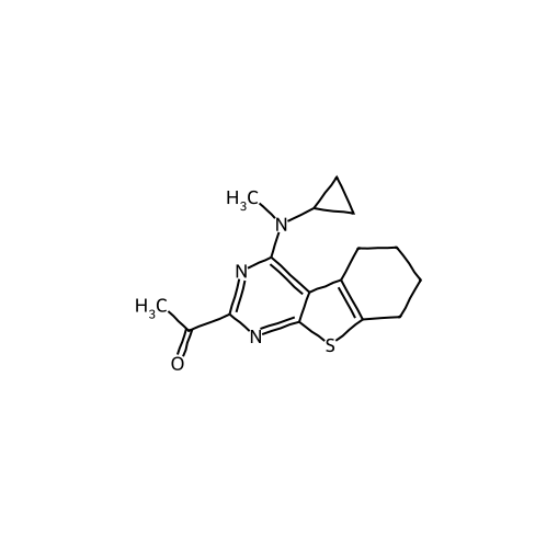 CC(=O)c1nc(N(C)C2CC2)c2c3c(sc2n1)CCCC3